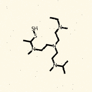 CCN(C)CCN(CCN(C)C(C)C)CCN(C)C(C)SS